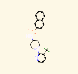 O=S(=O)(NC1CCN(c2ncccc2C(F)(F)F)CC1)c1ccc2ccccc2c1